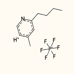 CCCCc1cc(C)ccn1.F[P-](F)(F)(F)(F)F.[H+]